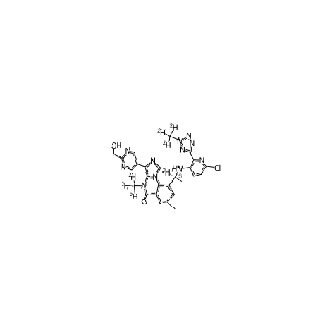 [2H]C([2H])([2H])n1nnc(-c2nc(Cl)ccc2N[C@@]([2H])(C)c2cc(C)cc3c(=O)n(C([2H])([2H])[2H])c4c(-c5cnc(CO)nc5)ncn4c23)n1